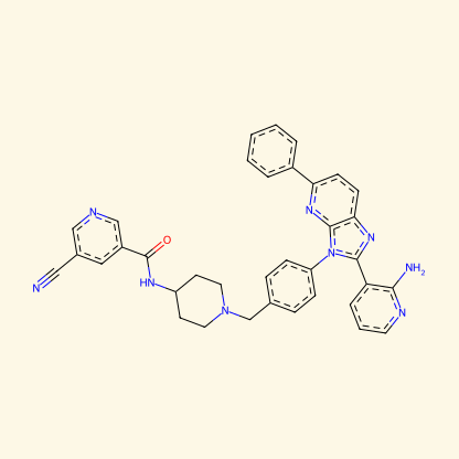 N#Cc1cncc(C(=O)NC2CCN(Cc3ccc(-n4c(-c5cccnc5N)nc5ccc(-c6ccccc6)nc54)cc3)CC2)c1